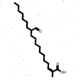 CCCCCCCC(C=O)CCCCCCCCC=C(C)C(=O)O